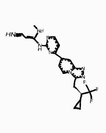 CN/C(=C\C=N)Nc1nccc(-c2ccn3c(C[C@H](C4CC4)C(F)(F)F)nnc3c2)n1